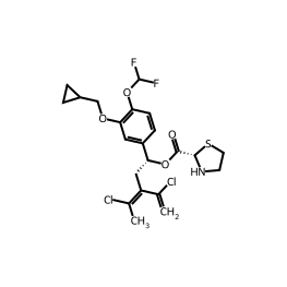 C=C(Cl)/C(C[C@@H](OC(=O)[C@H]1NCCS1)c1ccc(OC(F)F)c(OCC2CC2)c1)=C(\C)Cl